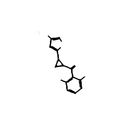 C=C(c1c(F)cccc1F)C1CC1c1cc(C)cs1